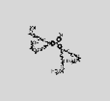 CC(O)COC(C)COCCOCCOCCN(CCOCCOCCOC(C)C(C)OCC(C)O)c1ccc(C(c2ccc(N(C)C)cc2)c2ccc(N(CCOCCOCCOCC(C)OCC(C)O)CCOCCOCC(C)OCC(C)OCC(C)O)cc2)cc1